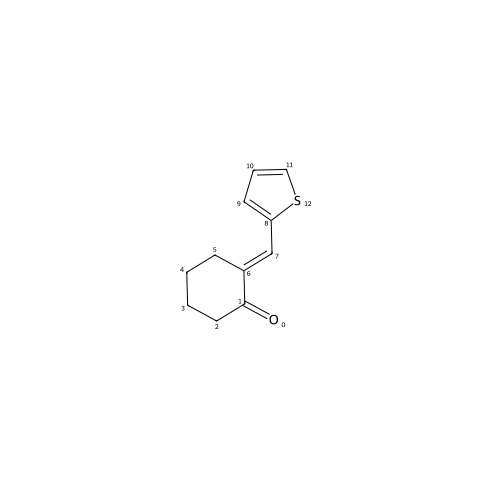 O=C1CCCC/C1=C\c1cccs1